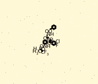 CC(C)(OC(=O)Nc1ccc2c(c1)N(S(=O)(=O)c1ccc(F)c(Cl)c1)C[C@H](CNC(=O)OCc1ccccc1)O2)C(F)(F)F